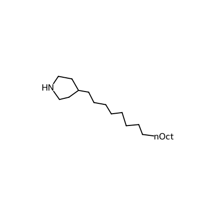 [CH2]CCCCCCCCCCCCCCCC1CCNCC1